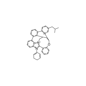 CC(C)Cc1ccc2[n+](c1)C1CC3C[n+]4c(n(C5=CCCC=C5)c5cccc(c54)-c4cccc-2c43)-c2ccccc2O1